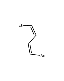 CC/C=C\C=C/C(C)=O